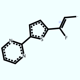 [CH2]/C=C(\F)c1ccc(-c2ncccn2)s1